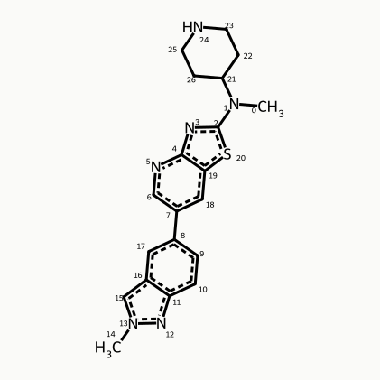 CN(c1nc2ncc(-c3ccc4nn(C)cc4c3)cc2s1)C1CCNCC1